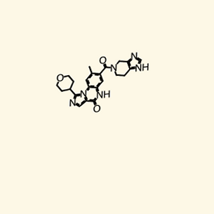 Cc1cc2c(cc1C(=O)N1CCc3[nH]cnc3C1)[nH]c(=O)c1cnc(C3CCOCC3)n12